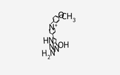 COc1ccc(C[n+]2ccc(-c3cc4c(O)nc(N)nc4[nH]3)cc2)cc1